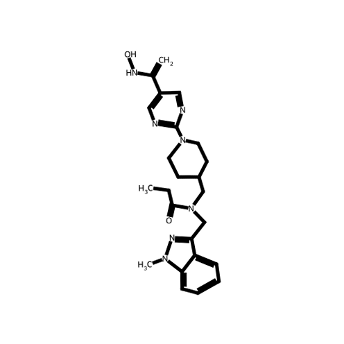 C=C(NO)c1cnc(N2CCC(CN(Cc3nn(C)c4ccccc34)C(=O)CC)CC2)nc1